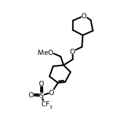 COCC1(COCC2CCOCC2)CC=C(OS(=O)(=O)C(F)(F)F)CC1